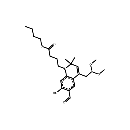 CCCCOC(=O)CCCN1c2cc(O)c(C=O)cc2C(CP(OC)OC)=CC1(C)C